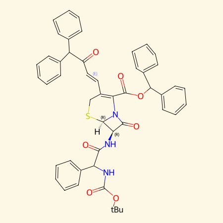 CC(C)(C)OC(=O)NC(C(=O)N[C@@H]1C(=O)N2C(C(=O)OC(c3ccccc3)c3ccccc3)=C(/C=C/C(=O)C(c3ccccc3)c3ccccc3)CS[C@H]12)c1ccccc1